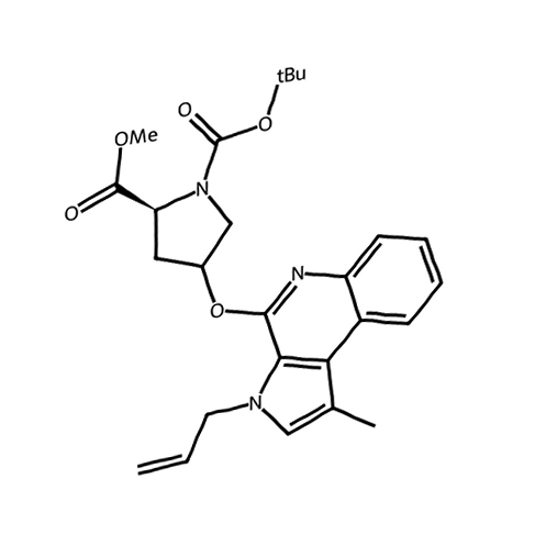 C=CCn1cc(C)c2c3ccccc3nc(OC3C[C@@H](C(=O)OC)N(C(=O)OC(C)(C)C)C3)c21